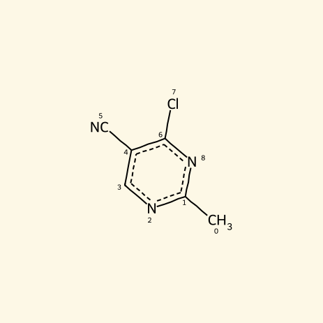 Cc1ncc(C#N)c(Cl)n1